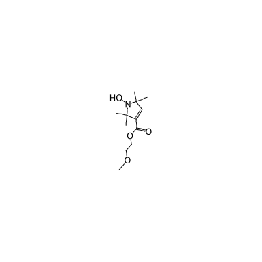 COCCOC(=O)C1=CC(C)(C)N(O)C1(C)C